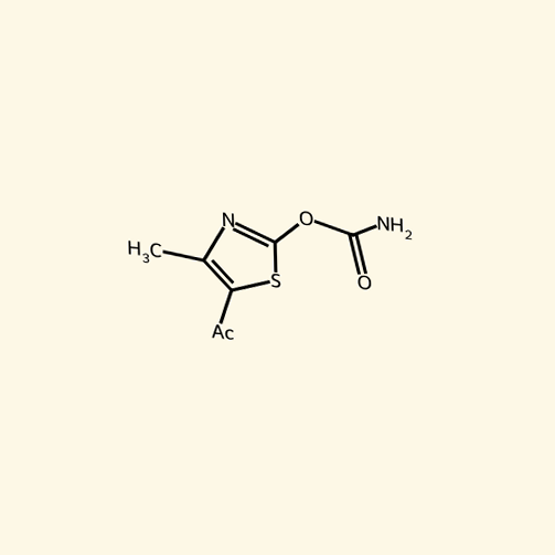 CC(=O)c1sc(OC(N)=O)nc1C